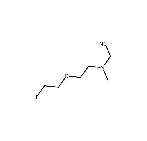 CN(CC#N)CCOCCI